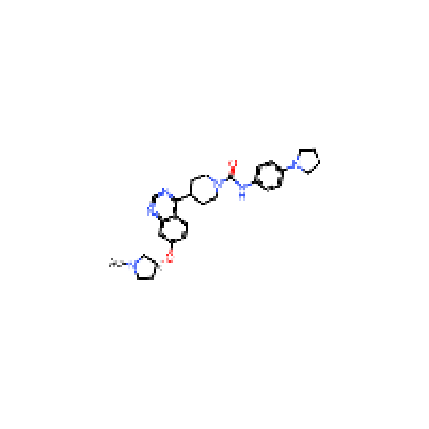 CC(=O)N1CC[C@@H](Oc2ccc3c(C4CCN(C(=O)Nc5ccc(N6CCCC6)cc5)CC4)ncnc3c2)C1